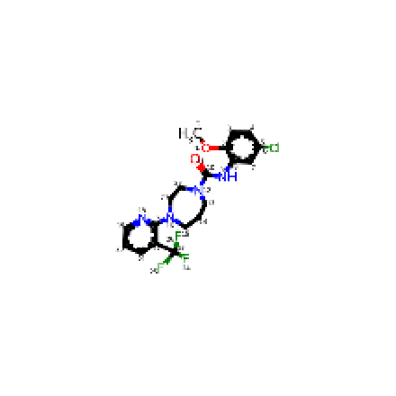 COc1ccc(Cl)cc1NC(=O)N1CCCN(c2ncccc2C(F)(F)F)CC1